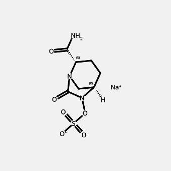 NC(=O)[C@@H]1CC[C@@H]2CN1C(=O)N2OS(=O)(=O)[O-].[Na+]